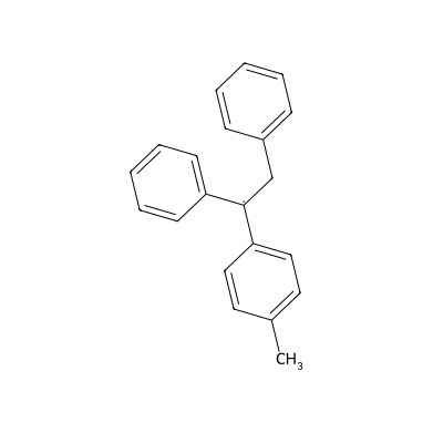 Cc1ccc([C](Cc2ccccc2)c2ccccc2)cc1